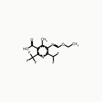 CCOC=Nc1c(C(F)F)nc(C(F)(F)F)c(C(=O)O)c1C